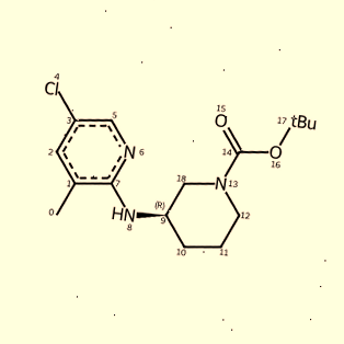 Cc1cc(Cl)cnc1N[C@@H]1CCCN(C(=O)OC(C)(C)C)C1